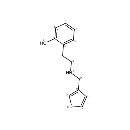 Oc1ccccc1CCNCc1ccsc1